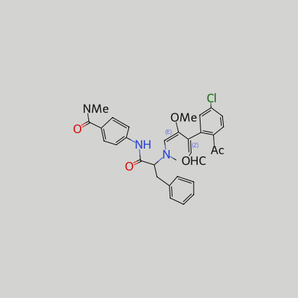 CNC(=O)c1ccc(NC(=O)C(Cc2ccccc2)N(C)/C=C(OC)\C(=C/C=O)c2cc(Cl)ccc2C(C)=O)cc1